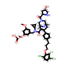 COc1cc(CN(C(=O)C2=C(c3ccc(CCCOc4c(F)ccc(F)c4F)cc3)C[C@H]3CN(C(=O)C4C[C@@H](O)CN4)C[C@@H]2N3)C2CC2)cc(OC)c1.O=CO